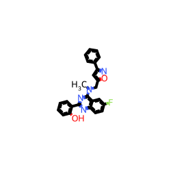 CN(Cc1cc(-c2ccccc2)no1)c1nc(-c2ccccc2O)nc2ccc(F)cc12